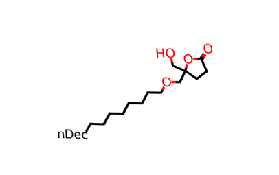 CCCCCCCCCCCCCCCCCCOCC1(CO)CCC(=O)O1